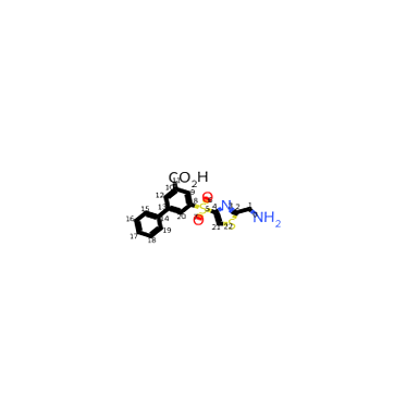 NCc1nc(S(=O)(=O)c2cc(C(=O)O)cc(-c3ccccc3)c2)cs1